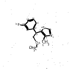 Cc1ncsc1C(COC=O)c1cccc(F)c1